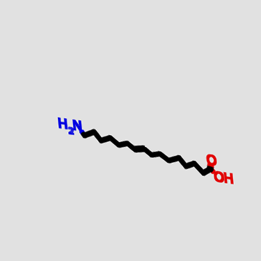 NCCCCCCC=CCCCCCCCC(=O)O